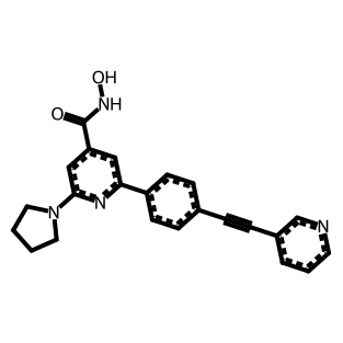 O=C(NO)c1cc(-c2ccc(C#Cc3cccnc3)cc2)nc(N2CCCC2)c1